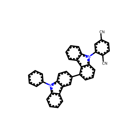 N#Cc1ccc(C#N)c(-n2c3ccccc3c3c(-c4ccc5c(c4)c4ccccc4n5-c4ccccc4)cccc32)c1